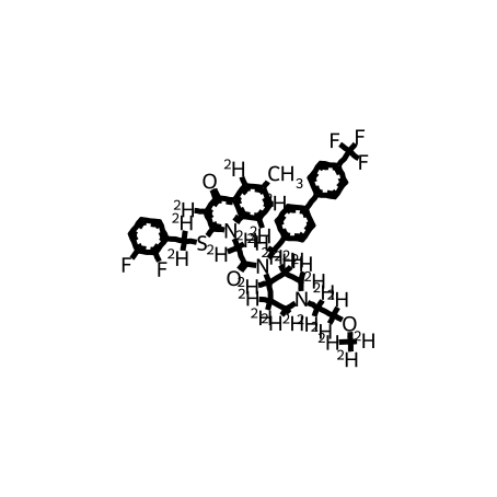 [2H]c1c(C)c([2H])c2c(=O)c([2H])c(SC([2H])([2H])c3cccc(F)c3F)n(C([2H])([2H])C(=O)N(C([2H])([2H])c3ccc(-c4ccc(C(F)(F)F)cc4)cc3)C3([2H])C([2H])([2H])C([2H])([2H])N(C([2H])([2H])C([2H])([2H])OC([2H])([2H])[2H])C([2H])([2H])C3([2H])[2H])c2c1[2H]